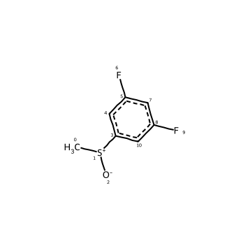 C[S+]([O-])c1cc(F)cc(F)c1